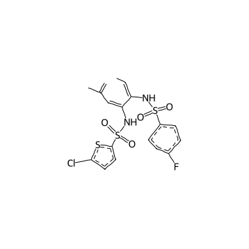 C=C(C)/C=C(NS(=O)(=O)c1ccc(Cl)s1)\C(=C/C)NS(=O)(=O)c1ccc(F)cc1